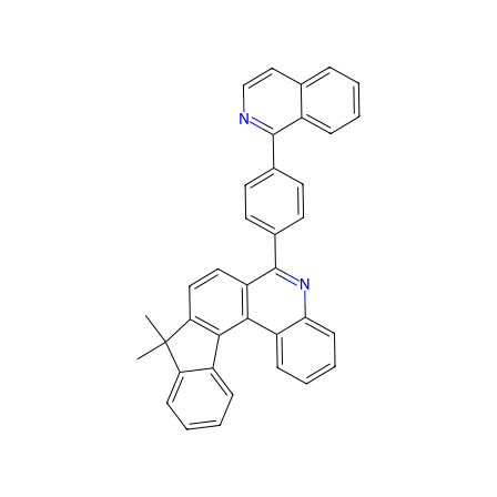 CC1(C)c2ccccc2-c2c1ccc1c(-c3ccc(-c4nccc5ccccc45)cc3)nc3ccccc3c21